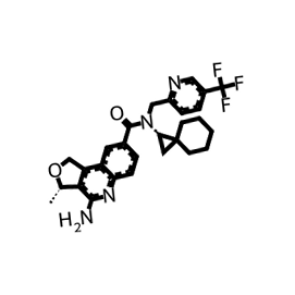 C[C@@H]1OCc2c1c(N)nc1ccc(C(=O)N(Cc3ccc(C(F)(F)F)cn3)[C@H]3CC34CCCCC4)cc21